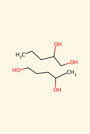 CC(O)CCCO.CCCC(O)CO